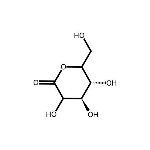 O=C1OC(CO)[C@H](O)[C@@H](O)C1O